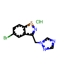 Brc1ccc2snc(Cn3cncn3)c2c1.Cl